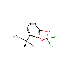 CCCC(C)(C)c1cccc2c1OC(F)(F)O2